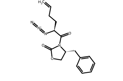 C=CCC[C@H](N=[N+]=[N-])C(=O)N1C(=O)OC[C@H]1Cc1ccccc1